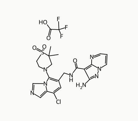 CC1(C)CN(c2c(CNC(=O)c3c(N)nn4cccnc34)cc(Cl)c3cncn23)CCS1(=O)=O.O=C(O)C(F)(F)F